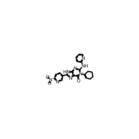 O=c1c2nc(-c3ccc([N+](=O)[O-])nc3)[nH]c2nc(Nc2ccccn2)n1C1=CCCCC1